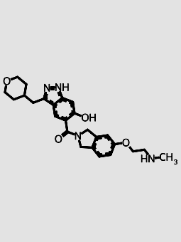 CNCCOc1ccc2c(c1)CN(C(=O)c1cc3c(CC4CCOCC4)n[nH]c3cc1O)C2